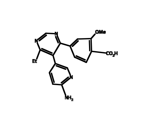 CCc1ncnc(-c2ccc(C(=O)O)c(OC)c2)c1-c1ccc(N)nc1